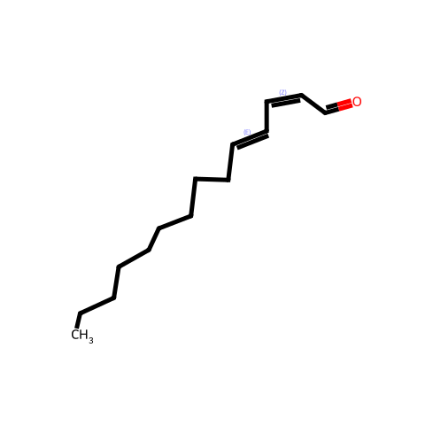 CCCCCCCCC/C=C/C=C\C=O